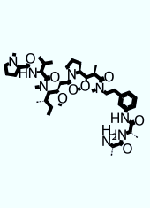 CC[C@H](C)[C@@H]([C@@H](CC(=O)N1CCC[C@H]1[C@H](OC)[C@@H](C)C(=O)N(C)CCc1cccc(NC(=O)[C@H](C)NC(=O)[C@H](C)N)c1)OC)N(C)C(=O)[C@@H](NC(=O)C1CCCN1C)C(C)C